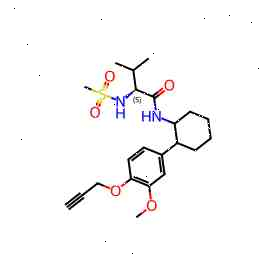 C#CCOc1ccc(C2CCCCC2NC(=O)[C@@H](NS(C)(=O)=O)C(C)C)cc1OC